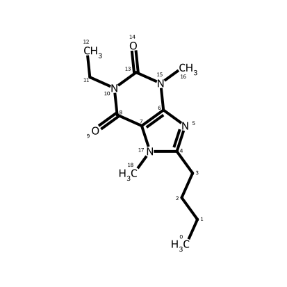 CCCCc1nc2c(c(=O)n(CC)c(=O)n2C)n1C